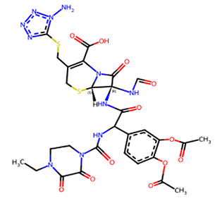 CCN1CCN(C(=O)NC(C(=O)N[C@]2(NC=O)C(=O)N3C(C(=O)O)=C(CSc4nnnn4N)CS[C@H]32)c2ccc(OC(C)=O)c(OC(C)=O)c2)C(=O)C1=O